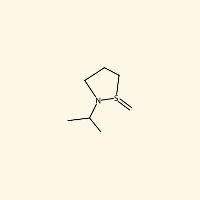 C=S1CCCN1C(C)C